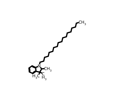 CCCCCCCCCCCCCCCCCCN1c2ccccc2C(C)(C)C1C